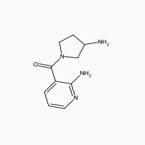 Nc1ncccc1C(=O)N1CCC(N)C1